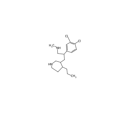 CCCC1CCNCC1CC(CNC)c1ccc(Cl)c(Cl)c1